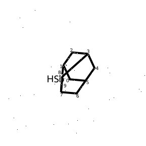 C1[C]2CC3CC1C[CH](C3)[SbH]2